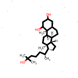 C[C@H](CCCC(C)(C)O)[C@H]1CC[C@H]2[C@@H]3CCC4CC(O)CC(O)[C@]4(C)[C@H]3CC[C@]12C